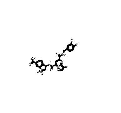 O=C(O)c1ccc2c(c1)S(=O)(=O)CC2NC(=O)c1cc(C(=O)NCc2ccc(F)c(Cl)c2)nc2c(F)cnn12